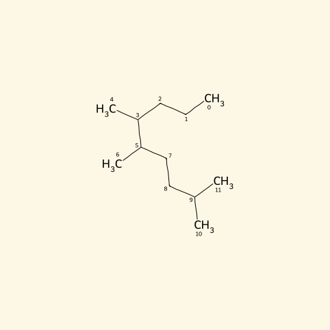 CCCC(C)C(C)CCC(C)C